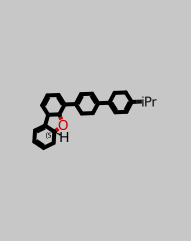 CC(C)C1=CC=C(C2=CC=C(C3=CC=CC4C5=CC=CC[C@@H]5OC34)CC2)CC1